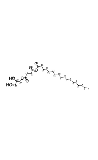 CCCCCCCCCCCCCCCCCC(=O)OC(=O)CCC(=O)OCC(O)CO